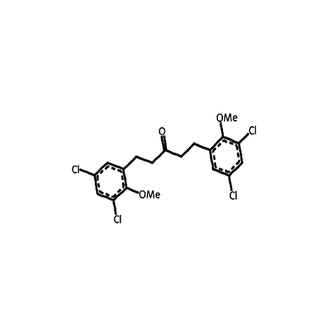 COc1c(Cl)cc(Cl)cc1CCC(=O)CCc1cc(Cl)cc(Cl)c1OC